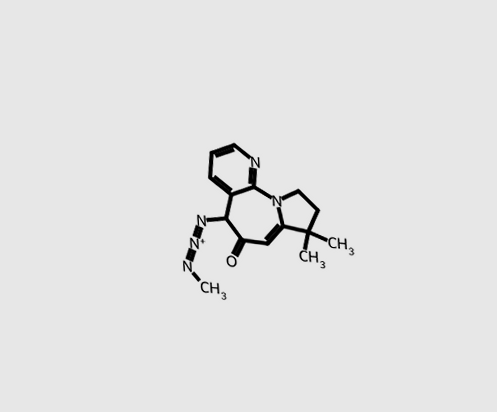 CN=[N+]=NC1C(=O)C=C2N(CCC2(C)C)c2ncccc21